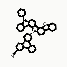 N#Cc1ccc2c3ccc(-n4c5ccc6c7ccccc7oc6c5c5ccc6c(c7ccccc7n6-c6ccccc6)c54)cc3c3ccccc3c2c1